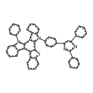 c1ccc(-c2cc(-c3ccc(-n4c5ccccc5c5c4c4sc6ccccc6c4c4c6ccccc6n(-c6ccccc6)c45)cc3)nc(-c3ccccc3)n2)cc1